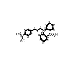 CCN(CC)c1ccc(CCCN(c2ccccc2)c2ccccc2C(=O)O)cc1